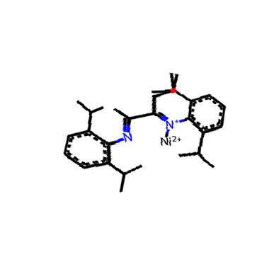 CCCC(C(C)=Nc1c(C(C)C)cccc1C(C)C)=[N+]([Ni+2])c1c(C(C)C)cccc1C(C)C